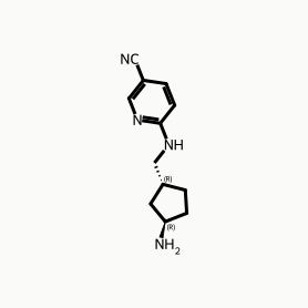 N#Cc1ccc(NC[C@@H]2CC[C@@H](N)C2)nc1